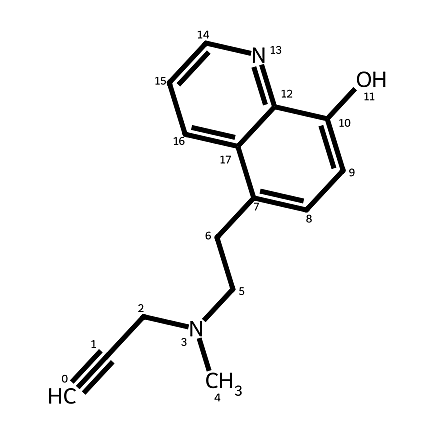 C#CCN(C)CCc1ccc(O)c2ncccc12